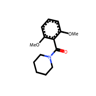 COc1cccc(OC)c1C(=O)N1CCCCC1